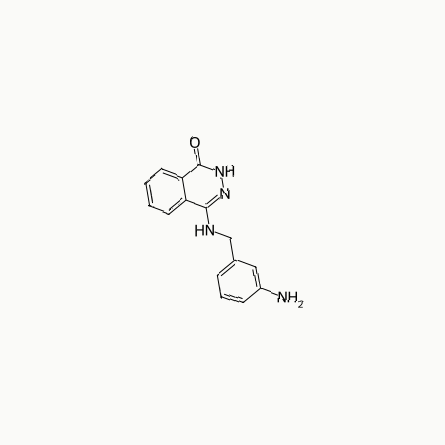 Nc1cccc(CNc2n[nH]c(=O)c3ccccc23)c1